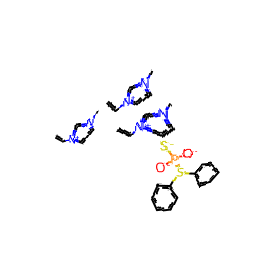 C=C[n+]1ccn(C)c1.C=C[n+]1ccn(C)c1.C=C[n+]1ccn(C)c1.[O-]P([O-])([S-])=S(c1ccccc1)c1ccccc1